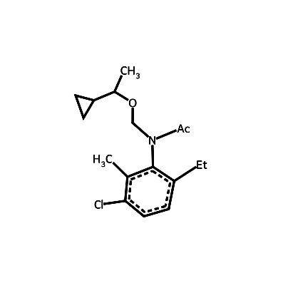 CCc1ccc(Cl)c(C)c1N(COC(C)C1CC1)C(C)=O